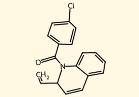 C=CC1C=Cc2ccccc2N1C(=O)c1ccc(Cl)cc1